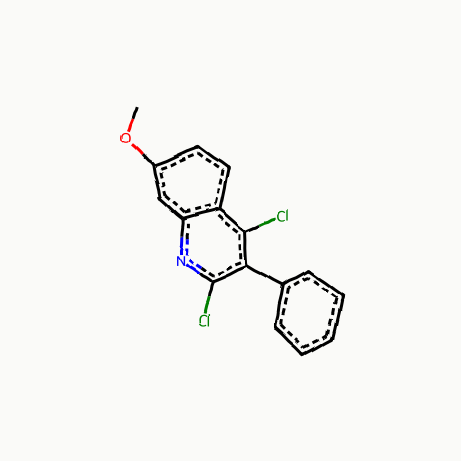 COc1ccc2c(Cl)c(-c3ccccc3)c(Cl)nc2c1